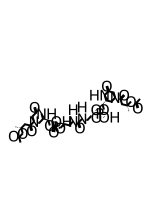 CC(=O)O[C@H](C)CC(=O)N1CC(=O)N[C@@H](COP(=O)(O)OCCNC(=O)NCCOP(=O)(O)OC[C@H]2CN(C(=O)C[C@@H](C)OC(C)=O)CC(=O)N2)C1